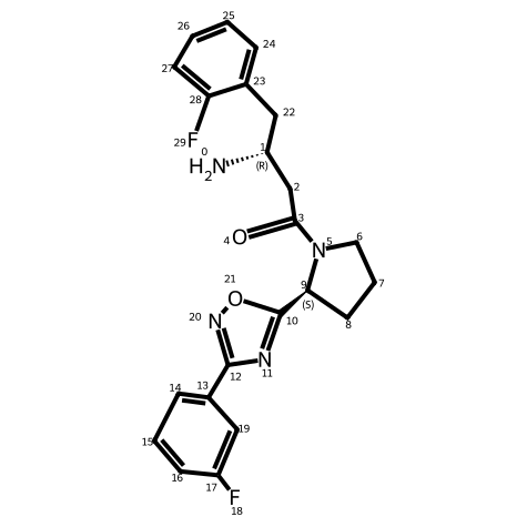 N[C@@H](CC(=O)N1CCC[C@H]1c1nc(-c2cccc(F)c2)no1)Cc1ccccc1F